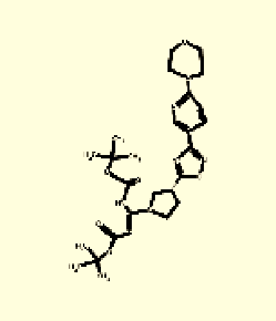 CC(C)(C)OC(=O)N=C(NC(=O)OC(C)(C)C)N1CC[C@@H](c2nc(-c3ccc(N4CCOCC4)nc3)no2)C1